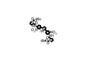 [2H]N1C(c2ccc(NC(=O)C3CCCN3C(=O)OC(C)(C)C)c([N+](=O)[O-])c2)CCC1c1ccc(NC(=O)C2CCCN2C(=O)OC(C)(C)C)c([N+](=O)[O-])c1